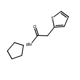 C1CCCC1.CC(C)(C)C(=O)Cc1cccs1